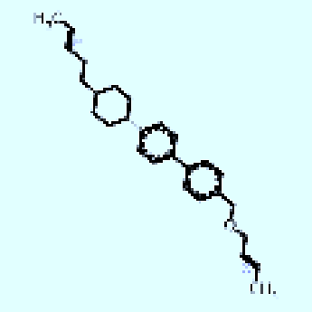 C/C=C/CC[C@H]1CC[C@H](c2ccc(-c3ccc(COC/C=C/C)cc3)cc2)CC1